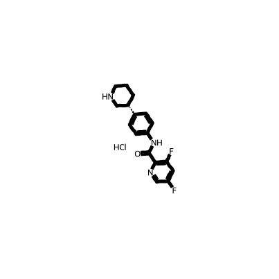 Cl.O=C(Nc1ccc([C@H]2CCCNC2)cc1)c1ncc(F)cc1F